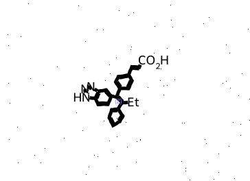 CC/C(=C(\c1ccc(C=CC(=O)O)cc1)c1ccc2[nH]nnc2c1)c1ccccc1